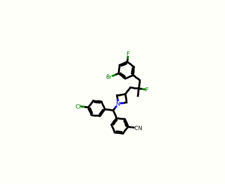 CC(F)(Cc1cc(F)cc(Br)c1)CC1CN(C(c2ccc(Cl)cc2)c2cccc(C#N)c2)C1